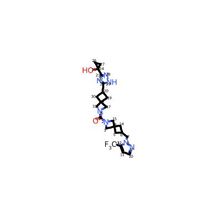 O=C(N1CC2(CC(Cn3nccc3C(F)(F)F)C2)C1)N1CC2(CC(c3nc(C4(O)CC4)n[nH]3)C2)C1